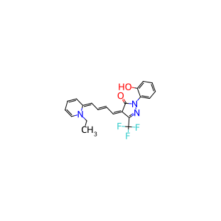 CCN1C=CC=CC1=CC=CC=C1C(=O)N(c2ccccc2O)N=C1C(F)(F)F